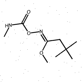 CNC(=O)ON=C(CC(C)(C)C)OC